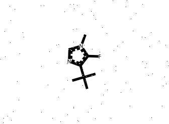 Cn1cnc(C(C)(C)C)c1F